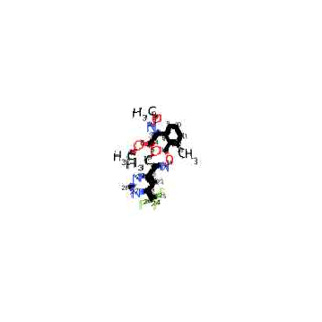 CO/N=C(/C(=O)OC)c1cccc(C)c1CO/N=C(\C)c1cc(C(F)(F)F)ncn1